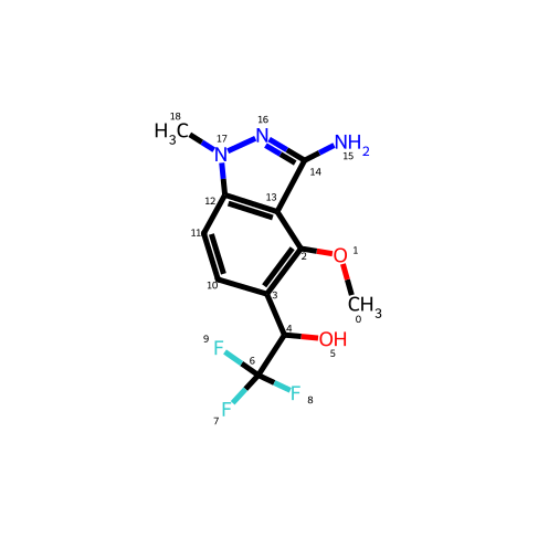 COc1c(C(O)C(F)(F)F)ccc2c1c(N)nn2C